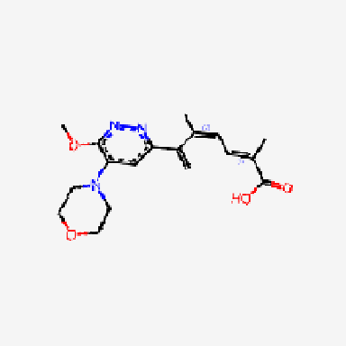 C=C(/C(C)=C\C=C(/C)C(=O)O)c1cc(N2CCOCC2)c(OC)nn1